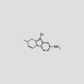 CCn1c2c(c3ccc(N)cc31)C=CC(C)C2